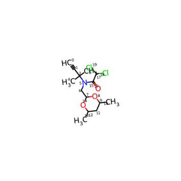 C#CC(C)(C)N(CC1OC(C)CC(C)O1)C(=O)C(Cl)Cl